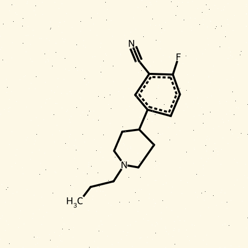 CCCN1CCC(c2ccc(F)c(C#N)c2)CC1